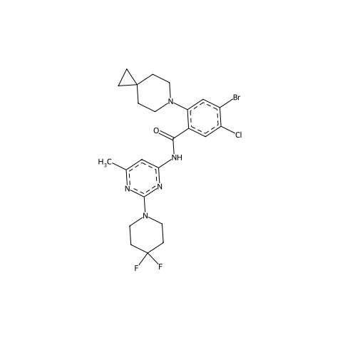 Cc1cc(NC(=O)c2cc(Cl)c(Br)cc2N2CCC3(CC2)CC3)nc(N2CCC(F)(F)CC2)n1